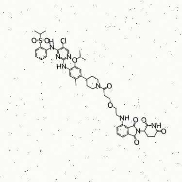 Cc1cc(Nc2ncc(Cl)c(Nc3ccccc3S(=O)(=O)C(C)C)n2)c(OC(C)C)cc1C1CCN(C(=O)CCOCCNc2cccc3c2C(=O)N(C2CCC(=O)NC2=O)C3=O)CC1